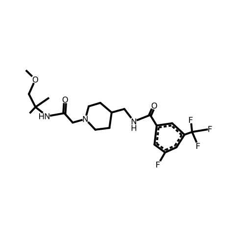 COCC(C)(C)NC(=O)CN1CCC(CNC(=O)c2cc(F)cc(C(F)(F)F)c2)CC1